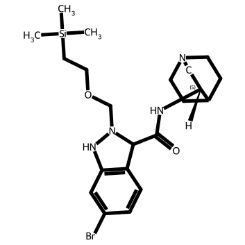 C[Si](C)(C)CCOCN1Nc2cc(Br)ccc2C1C(=O)N[C@@H]1CN2CCC1CC2